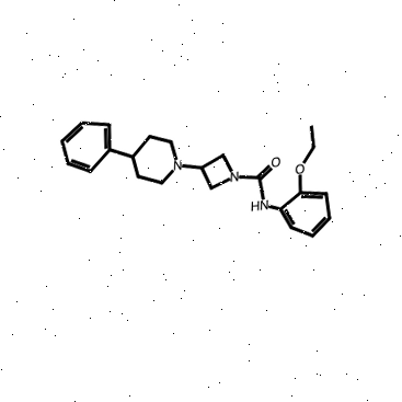 CCOc1ccccc1NC(=O)N1CC(N2CCC(c3ccccc3)CC2)C1